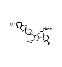 CNC(=O)c1ccc(F)cc1N1CC(O)C(N2CCC3(CC2)Cc2cc(Cl)ccc2O3)C1